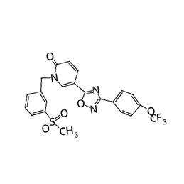 CS(=O)(=O)c1cccc(Cn2cc(-c3nc(-c4ccc(OC(F)(F)F)cc4)no3)ccc2=O)c1